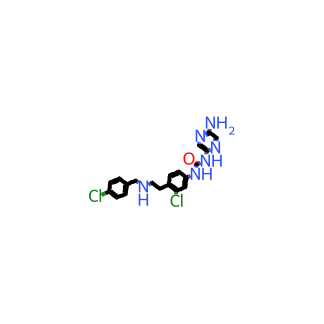 Nc1cnc(NC(=O)Nc2ccc(CCNCc3ccc(Cl)cc3)c(Cl)c2)cn1